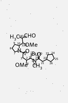 CCC(C)C(C(CC(=O)N1CCCC1C(OC)C(C)C=O)OC)N(C)C(=O)CC1CCCC1